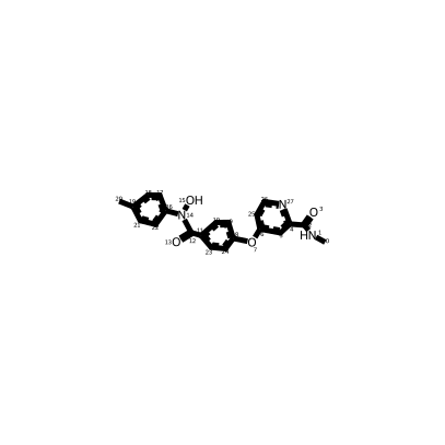 CNC(=O)c1cc(Oc2ccc(C(=O)N(O)c3ccc(C)cc3)cc2)ccn1